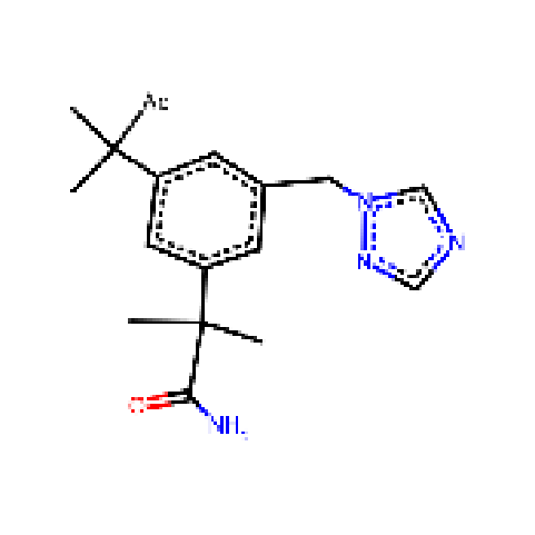 CC(=O)C(C)(C)c1cc(Cn2cncn2)cc(C(C)(C)C(N)=O)c1